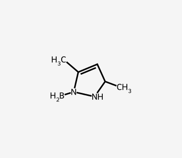 BN1NC(C)C=C1C